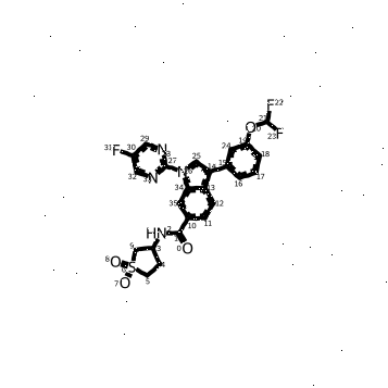 O=C(NC1CCS(=O)(=O)C1)c1ccc2c(-c3cccc(OC(F)F)c3)cn(-c3ncc(F)cn3)c2c1